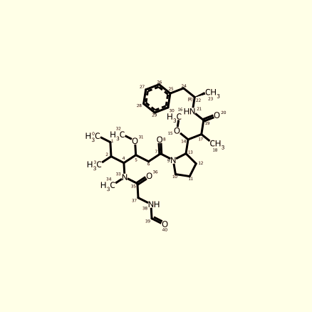 CCC(C)C(C(CC(=O)N1CCCC1C(OC)C(C)C(=O)N[C@H](C)Cc1ccccc1)OC)N(C)C(=O)CNC=O